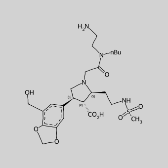 CCCCN(CCN)C(=O)CN1C[C@H](c2cc(CO)c3c(c2)OCO3)[C@@H](C(=O)O)[C@@H]1CCNS(C)(=O)=O